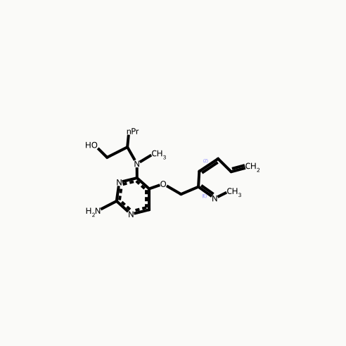 C=C/C=C\C(COc1cnc(N)nc1N(C)C(CO)CCC)=N/C